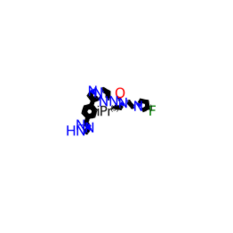 CC(C)[C@H]1CN(CCN2CC[C@@H](F)C2)C(=O)N1c1ccn2ncc(-c3ccc(-c4nc[nH]n4)cc3)c2n1